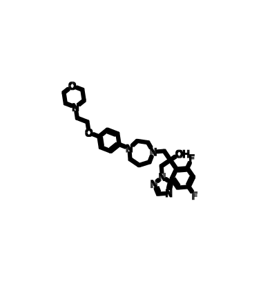 OC(CN1CCCN(c2ccc(OCCN3CCOCC3)cc2)CC1)(Cn1cncn1)c1ccc(F)cc1F